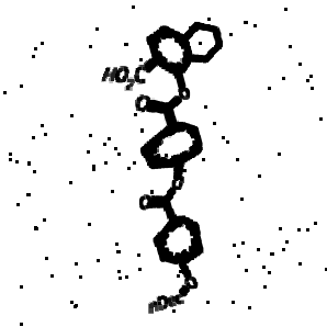 CCCCCCCCCCOc1ccc(C(=O)Oc2ccc(C(=O)Oc3c(C(=O)O)ccc4c3CCCC4)cc2)cc1